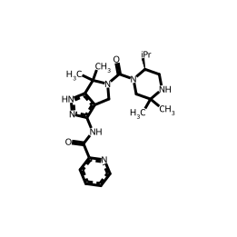 CC(C)[C@H]1CNC(C)(C)CN1C(=O)N1Cc2c(NC(=O)c3ccccn3)n[nH]c2C1(C)C